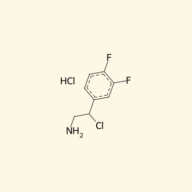 Cl.NCC(Cl)c1ccc(F)c(F)c1